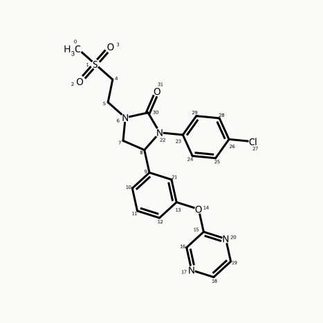 CS(=O)(=O)CCN1CC(c2cccc(Oc3cnccn3)c2)N(c2ccc(Cl)cc2)C1=O